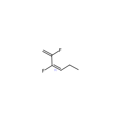 C=C(F)/C(F)=C\CC